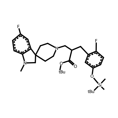 CN1CC2(CCN(CC(Cc3cc(O[Si](C)(C)C(C)(C)C)ccc3F)C(=O)OC(C)(C)C)CC2)c2cc(F)ccc21